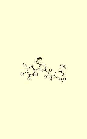 CCCOc1ccc(S(=O)(=O)NC(CC(N)=O)C(=O)O)cc1-c1nc(CC)c(CC)c(=O)[nH]1